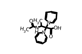 CC(=O)NC(C)C(C(=O)O)(N1C=CC=CC=C1)N1C=CC=CC=C1